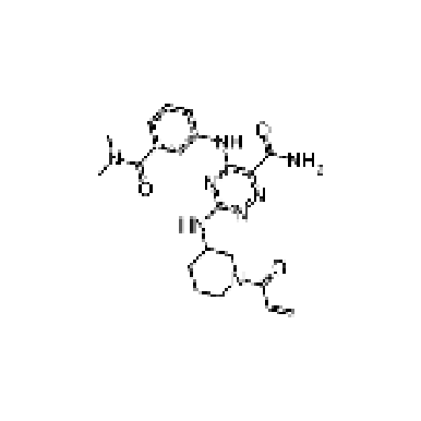 C=CC(=O)N1CCCC(Nc2nnc(C(N)=O)c(Nc3cccc(C(=O)N(C)C)c3)n2)C1